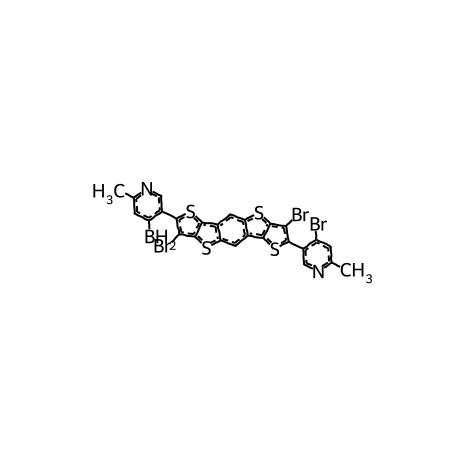 Bc1cc(C)ncc1-c1sc2c(sc3cc4c(cc32)sc2c(Br)c(-c3cnc(C)cc3Br)sc24)c1Br